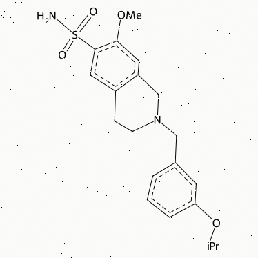 COc1cc2c(cc1S(N)(=O)=O)CCN(Cc1cccc(OC(C)C)c1)C2